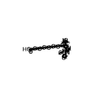 COC[C@@H](C)n1c(C2CCOCC2)nc2cnc3cc(-c4c(C)noc4C)c(OCCOCCOCCOCCOCCOCCOCCC(=O)O)cc3c21